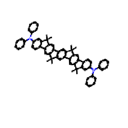 CC1(C)c2cc(N(c3ccccc3)c3ccccc3)ccc2-c2cc3c(cc21)-c1cc2c(cc1C3(C)C)-c1cc3c(cc1C2(C)C)-c1ccc(N(c2ccccc2)c2ccccc2)cc1C3(C)C